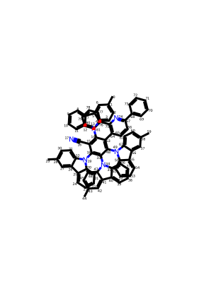 Cc1ccc2c(c1)c1ccccc1n2-c1c(C#N)c(-n2c3ccccc3c3cc(C)ccc32)c(-n2c3ccccc3c3cc(C)ccc32)c(-n2c3ccccc3c3cc(C)ccc32)c1-c1ccc(-c2ccccc2)nc1-c1ccccc1